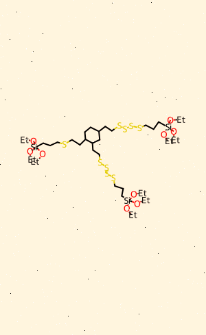 CCO[Si](CCCSCCC1CCC(CCSSSSCCC[Si](OCC)(OCC)OCC)CC1CCSSSSCCC[Si](OCC)(OCC)OCC)(OCC)OCC